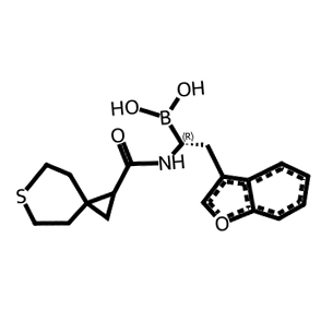 O=C(N[C@@H](Cc1coc2ccccc12)B(O)O)C1CC12CCSCC2